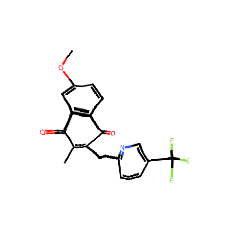 COc1ccc2c(c1)C(=O)C(C)=C(Cc1ccc(C(F)(F)F)cn1)C2=O